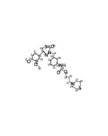 COc1ccc(C2=NN(Cc3cccc(NC(=O)OCCCN4CCSCC4)c3)C(=O)SC2)cc1OC